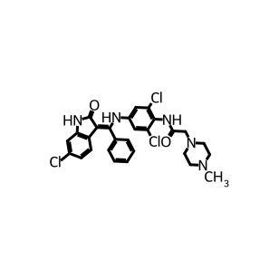 CN1CCN(CC(=O)Nc2c(Cl)cc(N/C(=C3\C(=O)Nc4cc(Cl)ccc43)c3ccccc3)cc2Cl)CC1